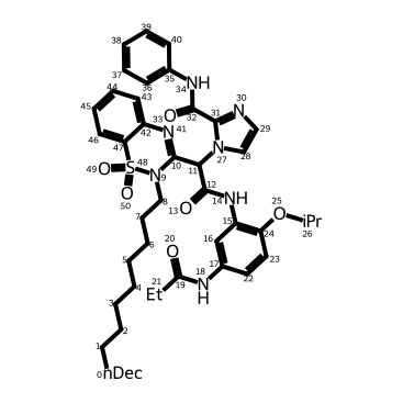 CCCCCCCCCCCCCCCCCCN1C(C(C(=O)Nc2cc(NC(=O)CC)ccc2OC(C)C)n2ccnc2C(=O)Nc2ccccc2)=Nc2ccccc2S1(=O)=O